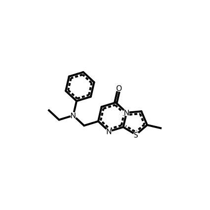 CCN(Cc1cc(=O)n2cc(C)sc2n1)c1ccccc1